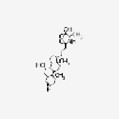 CC(NC(=O)CCCC1CCC2C3C(O)CC4CNCCC4(C)C3CCC12C)C(=O)O